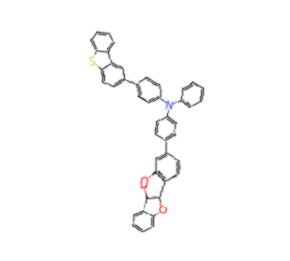 c1ccc(N(c2ccc(-c3ccc4c(c3)OC3c5ccccc5OC43)cc2)c2ccc(-c3ccc4sc5ccccc5c4c3)cc2)cc1